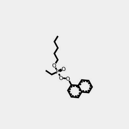 CCCCCOP(=O)(CC)OOc1cccc2ccccc12